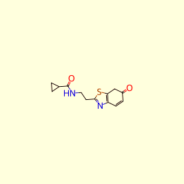 O=C1C=Cc2nc(CCNC(=O)C3CC3)sc2C1